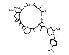 CCC1/C=C(\C)CC(C)CC(OC)C2OC(O)(C(=O)C(=O)N3CCCCC3C(=O)OC(C(C)=CC3CCC(Oc4ccc(N(C)C)cc4)C(O)C3)C(C)CCC1=O)C(C)CC2OC